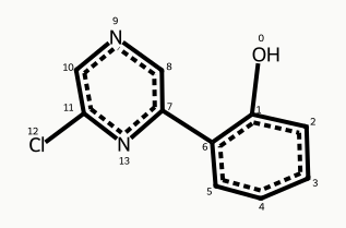 Oc1ccccc1-c1cncc(Cl)n1